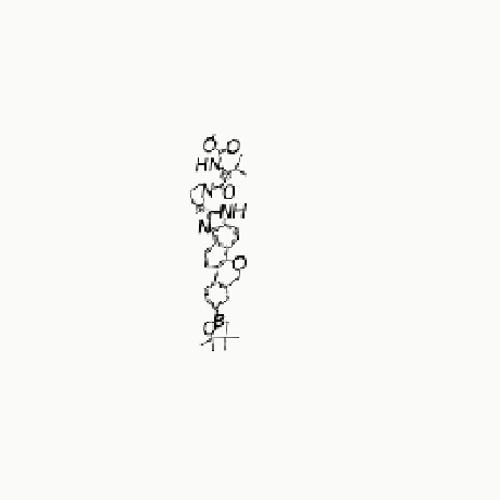 COC(=O)N[C@H](C(=O)N1CCC[C@H]1c1nc2c(ccc3c4c(ccc32)-c2ccc(B3CC(C)(C)C(C)(C)O3)cc2CO4)[nH]1)C(C)C